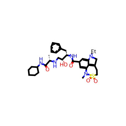 CCN1CC2=C3C1=CC(C(=O)N[C@@H](Cc1ccccc1)[C@H](O)CN[C@@H](C)C(=O)NC1CCCCC1)C=C3N(C)S(=O)(=O)CC2